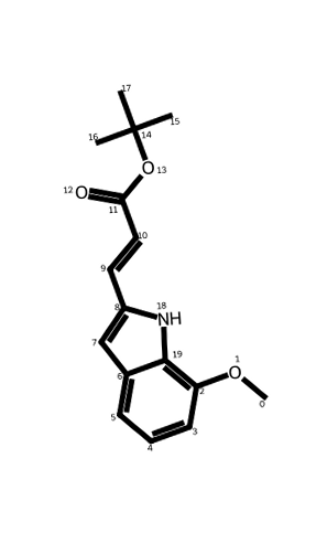 COc1cccc2cc(/C=C/C(=O)OC(C)(C)C)[nH]c12